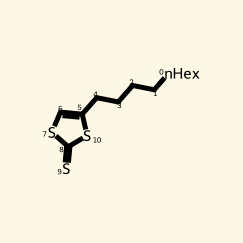 CCCCCCCCCCc1csc(=S)s1